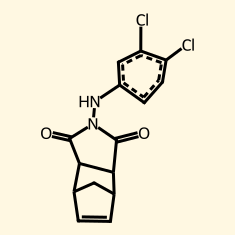 O=C1C2C3C=CC(C3)C2C(=O)N1Nc1ccc(Cl)c(Cl)c1